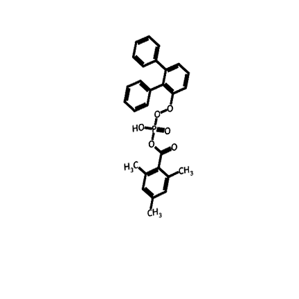 Cc1cc(C)c(C(=O)OP(=O)(O)OOc2cccc(-c3ccccc3)c2-c2ccccc2)c(C)c1